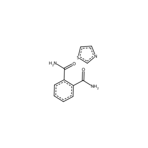 NC(=O)c1ccccc1C(N)=O.c1cscn1